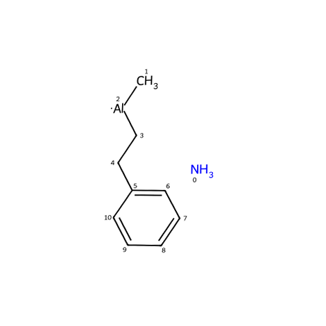 N.[CH3][Al][CH2]Cc1ccccc1